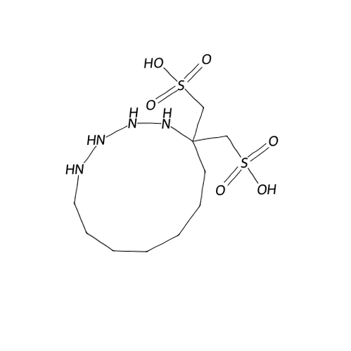 O=S(=O)(O)CC1(CS(=O)(=O)O)CCCCCCCNNNN1